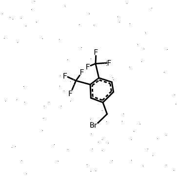 FC(F)(F)c1ccc(CBr)cc1C(F)(F)F